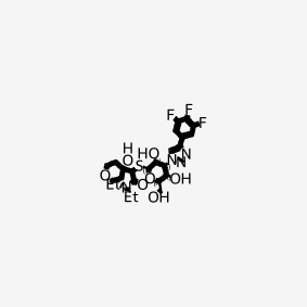 CCN(CC)C(=O)C(S[C@@H]1O[C@H](CO)[C@H](O)[C@H](n2cc(-c3cc(F)c(F)c(F)c3)nn2)[C@H]1O)C1(O)CCOCC1